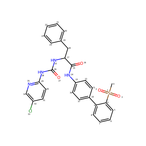 CS(=O)(=O)c1ccccc1-c1ccc(NC(=O)C(Cc2ccccc2)NC(=O)Nc2ccc(Cl)cn2)cc1